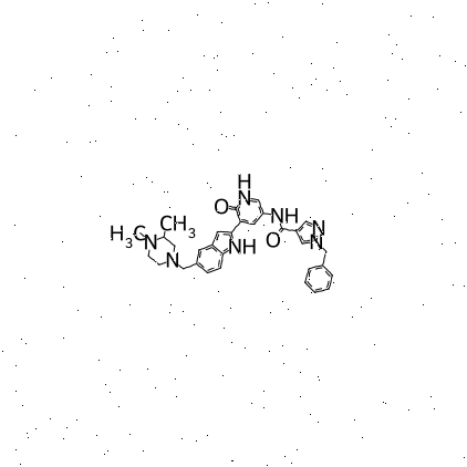 CC1CN(Cc2ccc3[nH]c(-c4cc(NC(=O)c5cnn(Cc6ccccc6)c5)c[nH]c4=O)cc3c2)CCN1C